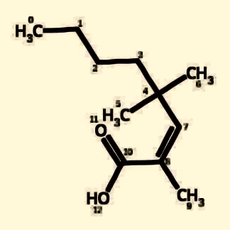 CCCCC(C)(C)C=C(C)C(=O)O